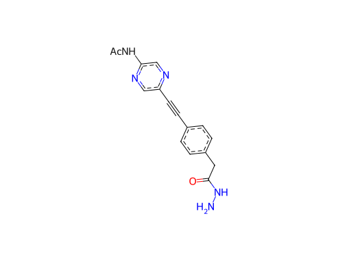 CC(=O)Nc1cnc(C#Cc2ccc(CC(=O)NN)cc2)cn1